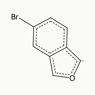 Brc1ccc2[c]occ2c1